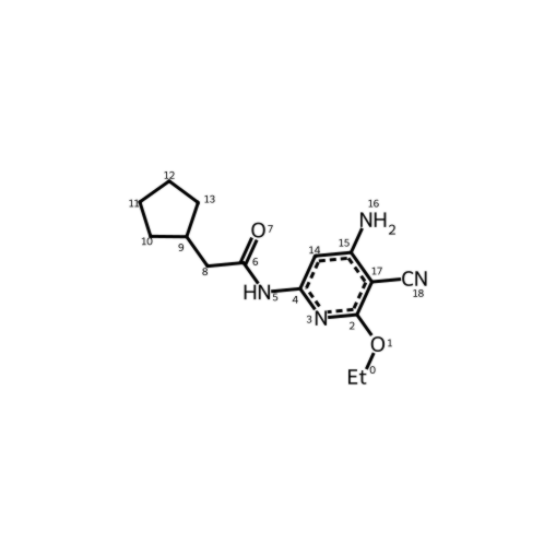 CCOc1nc(NC(=O)CC2CCCC2)cc(N)c1C#N